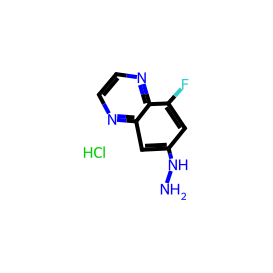 Cl.NNc1cc(F)c2nccnc2c1